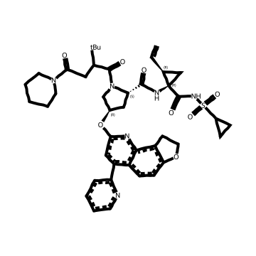 C=C[C@H]1C[C@]1(NC(=O)[C@@H]1C[C@@H](Oc2cc(-c3ccccn3)c3ccc4c(c3n2)CCO4)CN1C(=O)C(CC(=O)N1CCCCC1)C(C)(C)C)C(=O)NS(=O)(=O)C1CC1